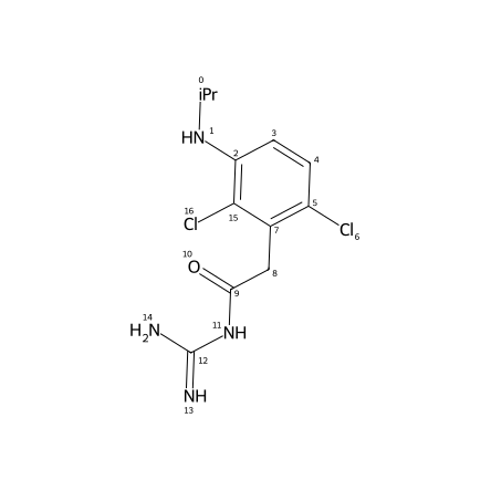 CC(C)Nc1ccc(Cl)c(CC(=O)NC(=N)N)c1Cl